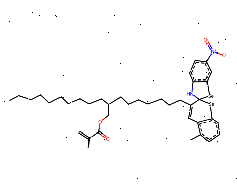 C=C(C)C(=O)OCC(CCCCCCCCCC)CCCCCCCC1=Cc2c(C)cccc2[Se]C12Nc1ccc([N+](=O)[O-])cc1[Se]2